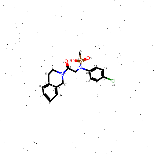 CS(=O)(=O)N(CC(=O)N1CCc2ccccc2C1)c1ccc(Cl)cc1